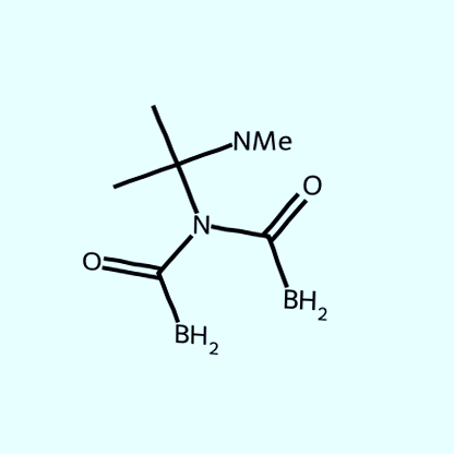 BC(=O)N(C(B)=O)C(C)(C)NC